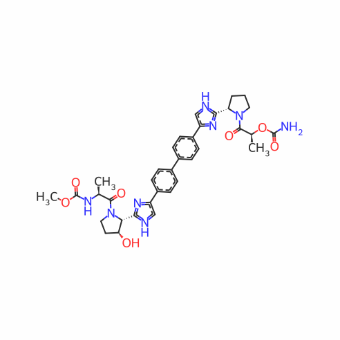 COC(=O)N[C@@H](C)C(=O)N1CC[C@H](O)[C@H]1c1nc(-c2ccc(-c3ccc(-c4c[nH]c([C@@H]5CCCN5C(=O)[C@H](C)OC(N)=O)n4)cc3)cc2)c[nH]1